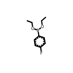 CCOB(OCC)c1ccc(F)cc1